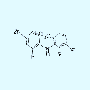 O=C(O)c1ccc(F)c(F)c1Nc1ccc(Br)cc1F